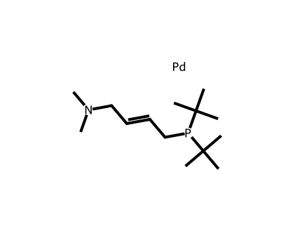 CN(C)CC=CCP(C(C)(C)C)C(C)(C)C.[Pd]